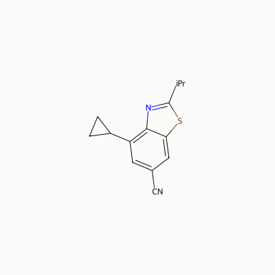 CC(C)c1nc2c(C3CC3)cc(C#N)cc2s1